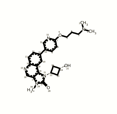 CN(C)CCCOc1ccc(-c2ccc3ncc4c(c3c2)n([C@H]2C[C@@H](O)C2)c(=O)n4C)cn1